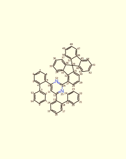 c1ccc(-c2ccccc2-c2cc(-c3ccccc3-c3ccccc3)nc(-c3cccc4c3-c3ccccc3C43c4ccccc4-c4ccccc43)n2)cc1